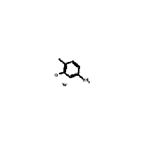 Cc1ccc(N)cc1[O-].[Na+]